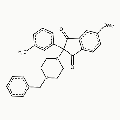 COc1ccc2c(c1)C(=O)C(c1cccc(C)c1)(N1CCN(Cc3ccccc3)CC1)C2=O